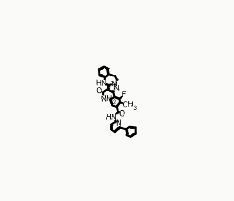 Cc1c(C(=O)Nc2cccc(-c3ccccc3)n2)ccc(-c2nn3c(c2C(N)=O)Nc2ccccc2CC3)c1F